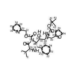 CC(C)[C@H](N)C(=O)N(C(=O)OCc1ccccn1)[C@@H](Cc1ccccc1)[C@@H](O)CN(Cc1ccco1)NC(=O)OC(C)(C)C